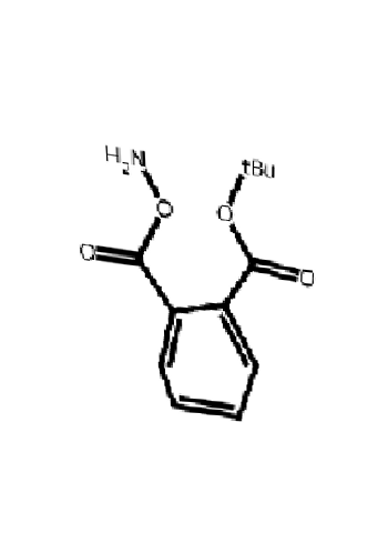 CC(C)(C)OC(=O)c1ccccc1C(=O)ON